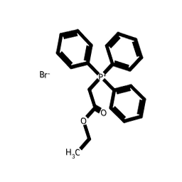 CCOC(=O)C[P+](c1ccccc1)(c1ccccc1)c1ccccc1.[Br-]